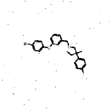 CCC(C)(COCc1cccc(Oc2ccc(Br)cc2)c1)c1ccc(F)cc1